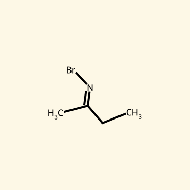 CCC(C)=NBr